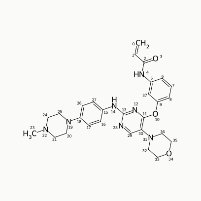 C=CC(=O)Nc1cccc(Oc2nc(Nc3ccc(N4CCN(C)CC4)cc3)ncc2N2CCOCC2)c1